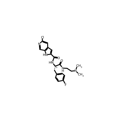 CN(C)CCNC(=O)[C@H](Cc1ccc(F)cc1)NC(=O)c1cc2cc(Cl)ncc2[nH]1